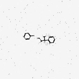 NC(=O)C(N)(C(=O)COCc1ccccc1)c1ccccc1